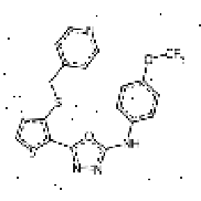 FC(F)(F)Oc1ccc(Nc2nnc(-c3sccc3SCc3ccncc3)o2)cc1